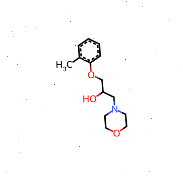 Cc1[c]cccc1OCC(O)CN1CCOCC1